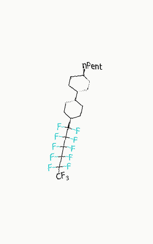 CCCCC[C@H]1CC[C@H]([C@H]2CC[C@H](C(F)(F)C(F)(F)C(F)(F)C(F)(F)C(F)(F)C(F)(F)F)CC2)CC1